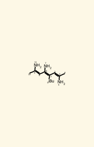 CCC(C)C(/C=C(/C)N)=C(N)\C=C(\C)N